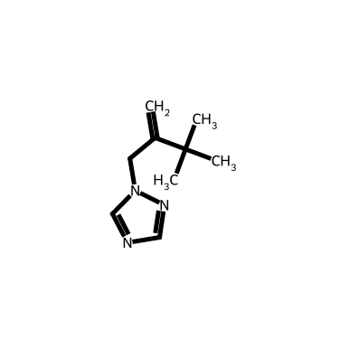 C=C(Cn1cncn1)C(C)(C)C